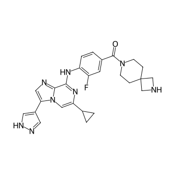 O=C(c1ccc(Nc2nc(C3CC3)cn3c(-c4cn[nH]c4)cnc23)c(F)c1)N1CCC2(CC1)CNC2